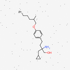 CC(C)CCCC(C)COc1ccc(CCC(N)(CO)CC2CC2)cc1